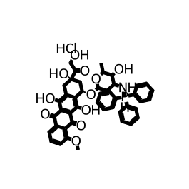 COc1cccc2c1C(=O)c1c(O)c3c(c(O)c1C2=O)C[C@@](O)(C(=O)CO)C[C@@H]3OC1CC(N[PH](c2ccccc2)(c2ccccc2)c2ccccc2)C(O)C(C)O1.Cl